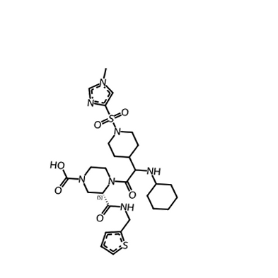 Cn1cnc(S(=O)(=O)N2CCC(C(NC3CCCCC3)C(=O)N3CCN(C(=O)O)C[C@H]3C(=O)NCc3cccs3)CC2)c1